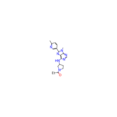 CCC(=O)N1CCC(Nc2ncnc3c2nc(-c2ccc(C)nc2)n3C)C1